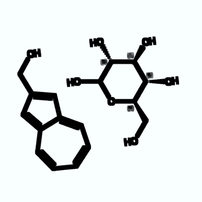 OC[C@H]1OC(O)[C@H](O)[C@@H](O)[C@@H]1O.OCc1cc2cccccc-2c1